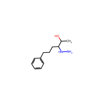 CC(O)C(CCCc1ccccc1)NN